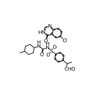 CC1CCC(NC(=O)NS(=O)(=O)c2ccc(C(C)C=O)cc2)CC1.O=c1[nH]cnc2ccc(Cl)cc12